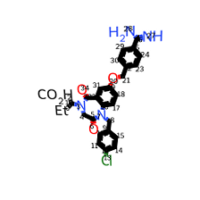 CCC(C(=O)O)N1CC(=O)N(Cc2ccc(Cl)cc2)c2ccc(OCc3ccc(C(=N)N)cc3)cc2C1=O